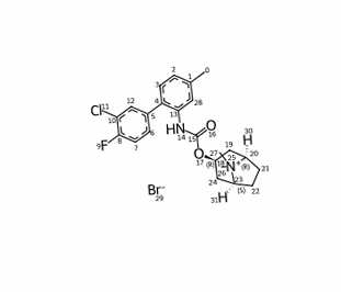 Cc1ccc(-c2ccc(F)c(Cl)c2)c(NC(=O)O[C@H]2C[C@H]3CC[C@@H](C2)[N+]3(C)C)c1.[Br-]